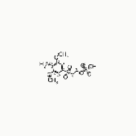 COc1cc(S(=O)(=O)CCOS(=O)(=O)O)cc(OC)c1N